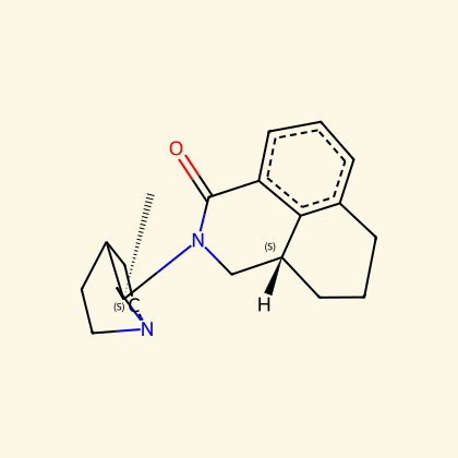 C[C@@]1(N2C[C@H]3CCCc4cccc(c43)C2=O)CN2CCC1CC2